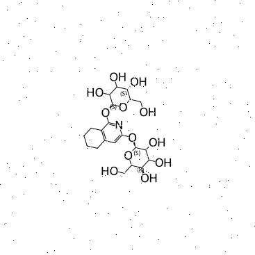 OCC1O[C@@H](Oc2nc(O[C@@H]3OC(CO)[C@H](O)C(O)C3O)cc3c2CCCC3)C(O)C(O)[C@@H]1O